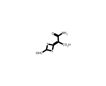 NC(=O)C(C(=O)O)=C1SC([C]=O)S1